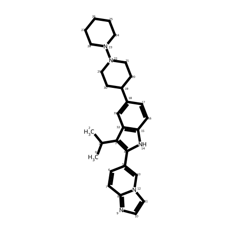 CC(C)c1c(-c2ccc3nccn3c2)[nH]c2ccc(C3CCN(N4C[CH]CCC4)CC3)cc12